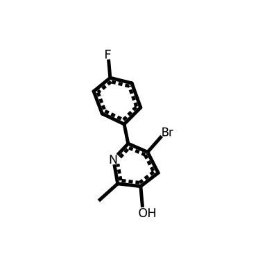 Cc1nc(-c2ccc(F)cc2)c(Br)cc1O